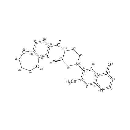 Cc1cc2nccc(=O)n2nc1N1CC[C@@H](Oc2ccc3c(c2)OCCCO3)[C@H](F)C1